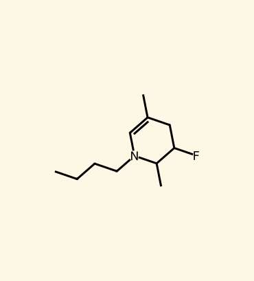 CCCCN1C=C(C)CC(F)C1C